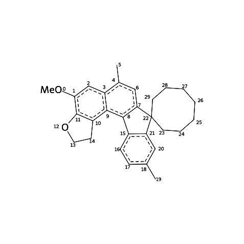 COc1cc2c(C)cc3c(c2c2c1OCC2)-c1ccc(C)cc1C31CCCCCCC1